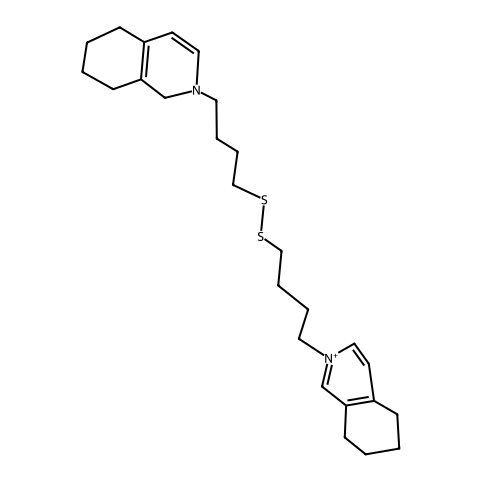 C1=CN(CCCCSSCCCC[n+]2ccc3c(c2)CCCC3)CC2=C1CCCC2